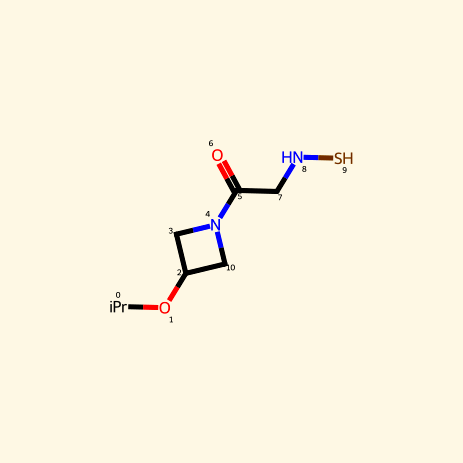 CC(C)OC1CN(C(=O)CNS)C1